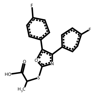 CC(Sc1nc(-c2ccc(F)cc2)c(-c2ccc(F)cc2)o1)C(=O)O